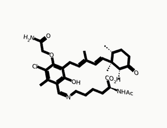 CC(=O)N[C@@H](CCCC/N=C\c1c(C)c(Cl)c(OCC(N)=O)c(C/C=C(C)/C=C/[C@@]2(C)[C@H](C)CCC(=O)[C@@H]2C)c1O)C(=O)O